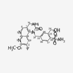 COc1nc2ncc3c(c2cc1F)N(Cc1ccc(S(N)(=O)=O)c(CO)c1)C(=O)NC3